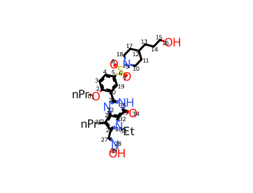 CCCOc1ccc(S(=O)(=O)N2CCC(CCCO)CC2)cc1-c1nc2c(CCC)c(C=NO)n(CC)c2c(=O)[nH]1